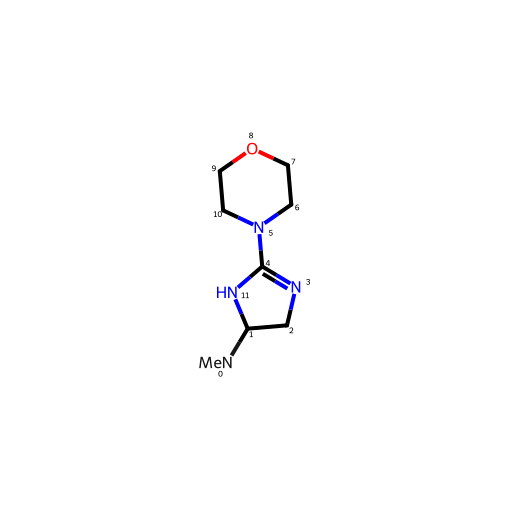 CNC1CN=C(N2CCOCC2)N1